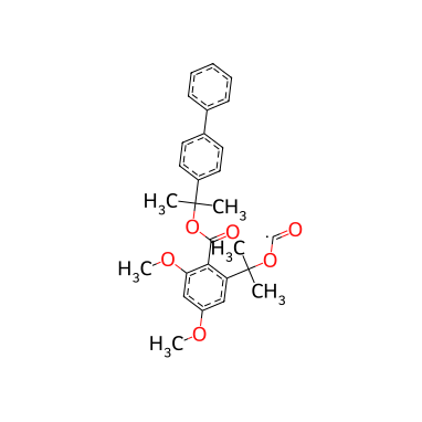 COc1cc(OC)c(C(=O)OC(C)(C)c2ccc(-c3ccccc3)cc2)c(C(C)(C)O[C]=O)c1